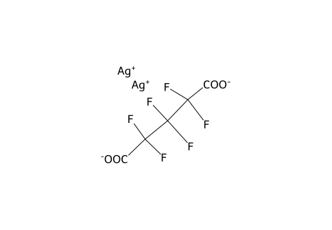 O=C([O-])C(F)(F)C(F)(F)C(F)(F)C(=O)[O-].[Ag+].[Ag+]